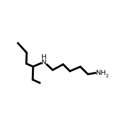 CCCC(CC)NCCCCCN